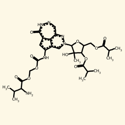 CC(C)C(=O)OCC1OC(n2cc3c(NC(=O)OCOC(=O)C(N)C(C)C)cc4c(=O)[nH]ncc(n2)c34)C(C)(O)C1OC(=O)C(C)C